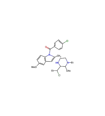 CCC(Cl)C1NCCN(CC)C1OC(C)=O.COc1ccc2c(c1)cc(C)n2C(=O)c1ccc(Cl)cc1